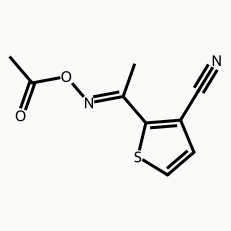 CC(=O)O/N=C(\C)c1sccc1C#N